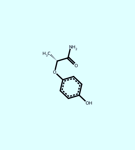 C[C@@H](Oc1ccc(O)cc1)C(N)=O